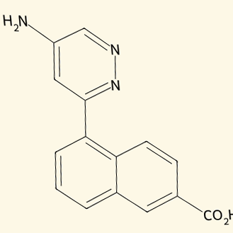 Nc1cnnc(-c2cccc3cc(C(=O)O)ccc23)c1